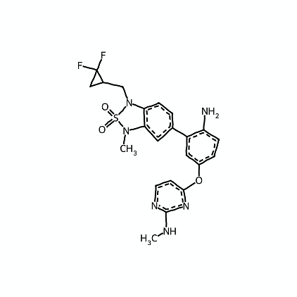 CNc1nccc(Oc2ccc(N)c(-c3ccc4c(c3)N(C)S(=O)(=O)N4CC3CC3(F)F)c2)n1